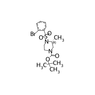 C[C@@H]1CN(C(=O)OC(C)(C)C)CCN1S(=O)(=O)c1ccccc1Br